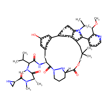 CCn1c(-c2cccnc2[C@H](C)OC)c2c3cc(ccc31)-c1cc(O)cc(c1)C[C@H](NC(=O)C(C(C)C)N(C)C(=O)[C@H](C)N(C)C(=O)[C@H]1CN1)C(=O)N1CCC[C@H](N1)C(=O)OCC(C)(C)C2